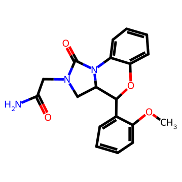 COc1ccccc1C1Oc2ccccc2N2C(=O)N(CC(N)=O)CC12